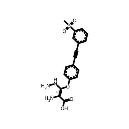 CS(=O)(=O)c1cccc(C#Cc2ccc(O/C(NN)=C(/N)C(=O)O)cc2)c1